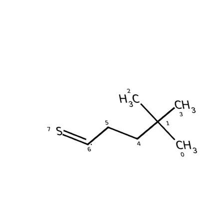 CC(C)(C)CC[C]=S